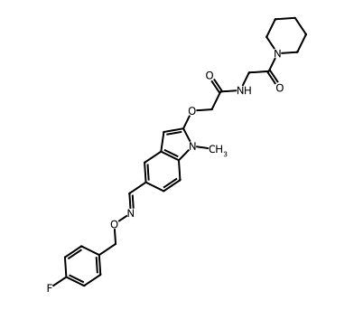 Cn1c(OCC(=O)NCC(=O)N2CCCCC2)cc2cc(/C=N/OCc3ccc(F)cc3)ccc21